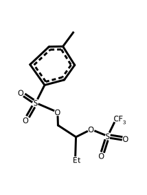 CCC(COS(=O)(=O)c1ccc(C)cc1)OS(=O)(=O)C(F)(F)F